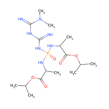 CC(C)OC(=O)C(C)NP(=O)(NC(=N)NC(=N)N(C)C)NC(C)C(=O)OC(C)C